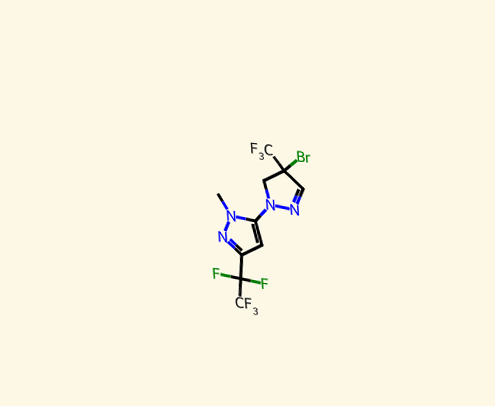 Cn1nc(C(F)(F)C(F)(F)F)cc1N1CC(Br)(C(F)(F)F)C=N1